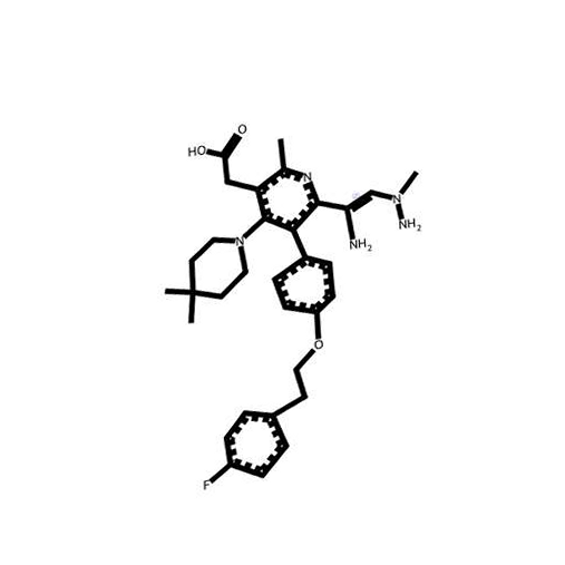 Cc1nc(/C(N)=C/N(C)N)c(-c2ccc(OCCc3ccc(F)cc3)cc2)c(N2CCC(C)(C)CC2)c1CC(=O)O